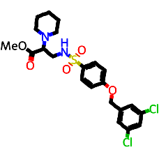 COC(=O)C(CNS(=O)(=O)c1ccc(OCc2cc(Cl)cc(Cl)c2)cc1)N1CCCCC1